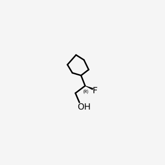 OC[C@H](F)C1CCCCC1